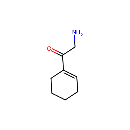 NCC(=O)C1=CCCCC1